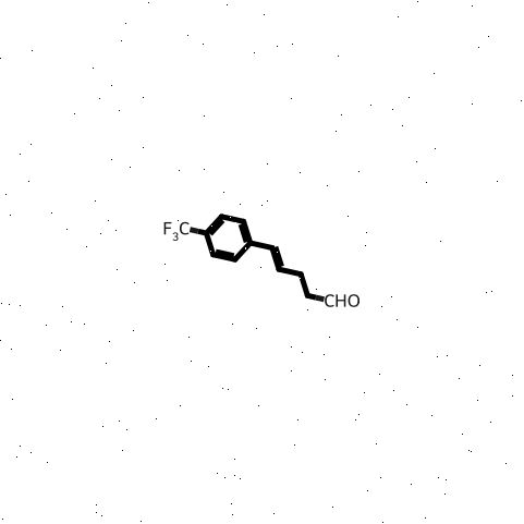 O=CCC/C=C/c1ccc(C(F)(F)F)cc1